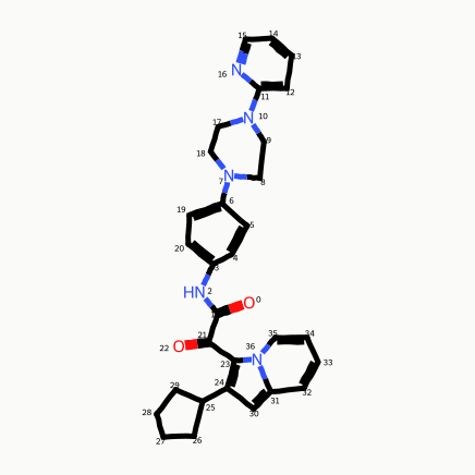 O=C(Nc1ccc(N2CCN(c3ccccn3)CC2)cc1)C(=O)c1c(C2CCCC2)cc2ccccn12